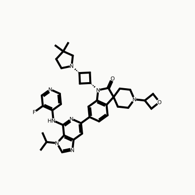 CC(C)n1cnc2cc(-c3ccc4c(c3)N([C@H]3C[C@@H](N5CCC(C)(C)C5)C3)C(=O)C43CCN(C4COC4)CC3)nc(Nc3ccncc3F)c21